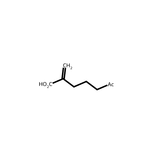 C=C(CCCC(C)=O)C(=O)O